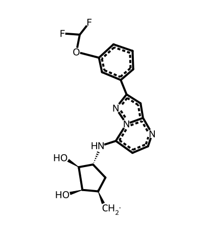 [CH2][C@@H]1C[C@@H](Nc2ccnc3cc(-c4cccc(OC(F)F)c4)nn23)[C@H](O)[C@@H]1O